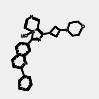 O[N+]12C=CN=CC1=C(C1CC(N3CCOCC3)C1)N=C2c1ccc2ccc(-c3ccccc3)nc2c1